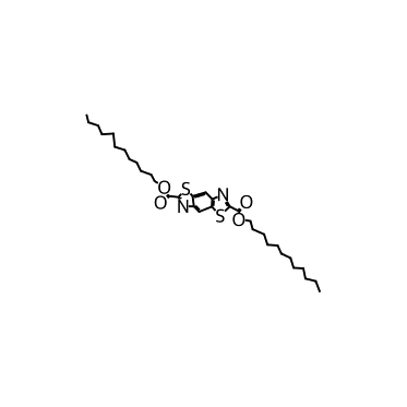 CCCCCCCCCCCCOC(=O)c1nc2cc3sc(C(=O)OCCCCCCCCCCCC)nc3cc2s1